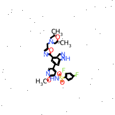 COc1ncc(-c2cc(-c3ncc(CN4C[C@@H](C)O[C@@H](C)C4)o3)c3cn[nH]c3c2)cc1NS(=O)(=O)c1ccc(F)cc1F